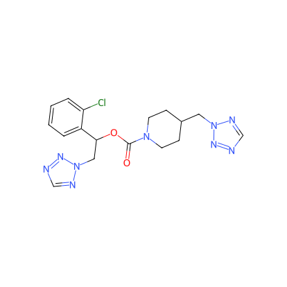 O=C(OC(Cn1ncnn1)c1ccccc1Cl)N1CCC(Cn2ncnn2)CC1